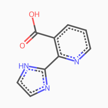 O=C(O)c1cccnc1-c1ncc[nH]1